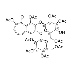 CC(=O)OC[C@H]1O[C@@H](Oc2c(O[C@@H]3O[C@H](COC(C)=O)[C@@H](OC(C)=O)[C@H](OC(C)=O)[C@H]3OC(C)=O)cc3cccc(OC(C)=O)c(=O)c3c2OC(C)=O)[C@H](OC(C)=O)[C@@H](OC(C)=O)[C@@H]1O